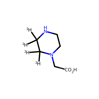 [2H]C1([2H])NCCN(CC(=O)O)C1([2H])[2H]